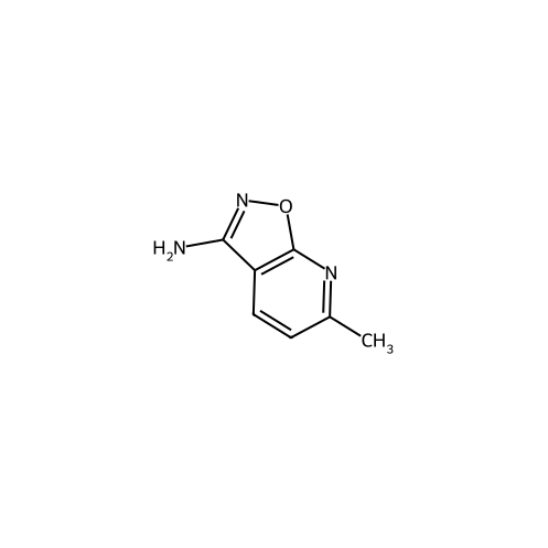 Cc1ccc2c(N)noc2n1